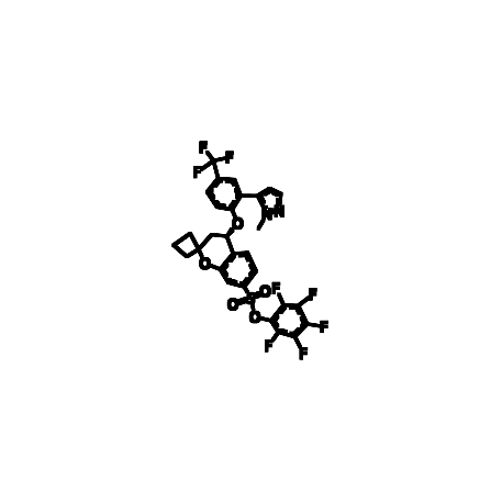 Cn1nccc1-c1cc(C(F)(F)F)ccc1O[C@@H]1CC2(CCC2)Oc2cc(S(=O)(=O)Oc3c(F)c(F)c(F)c(F)c3F)ccc21